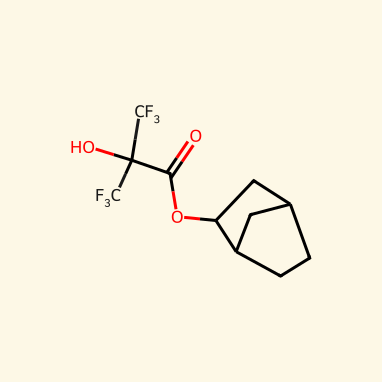 O=C(OC1CC2CCC1C2)C(O)(C(F)(F)F)C(F)(F)F